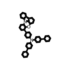 c1ccc(-c2ccc(N(c3ccc(-c4ccccc4)cc3)c3ccc(-c4cccc5c4Oc4cccc6c7ccccc7n-5c46)cc3)cc2)cc1